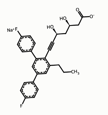 CCCc1cc(-c2ccc(F)cc2)cc(-c2ccc(F)cc2)c1C#C[C@@H](O)C[C@@H](O)CC(=O)[O-].[Na+]